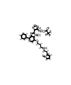 CCn1c(-c2nonc2N)nc2c(-c3ccccc3)ncc(OCCCNCCc3cccn3C)c21.O=C(O)C(F)(F)F